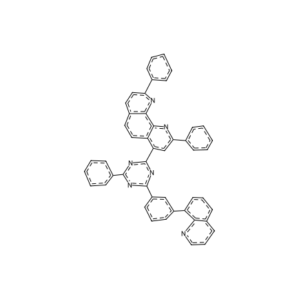 c1ccc(-c2ccc3ccc4c(-c5nc(-c6ccccc6)nc(-c6cccc(-c7cccc8cccnc78)c6)n5)cc(-c5ccccc5)nc4c3n2)cc1